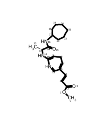 COC(=O)/C=C/C1=CCC=C(N[C@H](C)C(=O)NC2CCCCCC2)N=C1